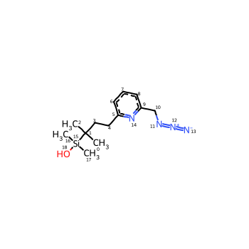 CC(C)(CCc1cccc(CN=[N+]=[N-])n1)[Si](C)(C)O